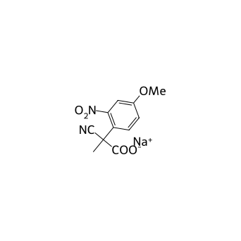 COc1ccc(C(C)(C#N)C(=O)[O-])c([N+](=O)[O-])c1.[Na+]